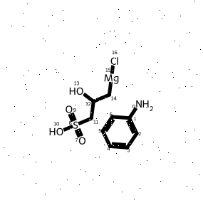 Nc1ccccc1.O=S(=O)(O)CC(O)[CH2][Mg][Cl]